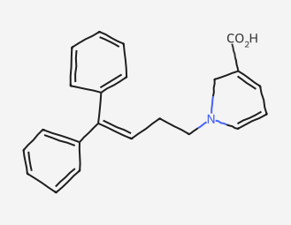 O=C(O)C1=CC=CN(CCC=C(c2ccccc2)c2ccccc2)C1